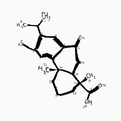 CC(C)c1cc2c(cc1Cl)[C@@]1(C)CCC[C@@](C)(C(=O)O)C1CC2=O